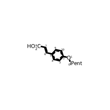 CCCC(C)Oc1ccc(C=CC(=O)O)cc1